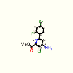 COC(=O)c1nc(-c2ccc(Br)cc2F)cc(N)c1Cl